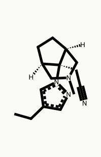 CCc1cnn([C@@]2(CC#N)[C@@H]3CC[C@H]2CN(C)C3)c1